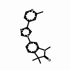 Cc1cc(-c2cn(-c3ccc4c(c3)N(C)C(=O)C4(C)C)cn2)ccn1